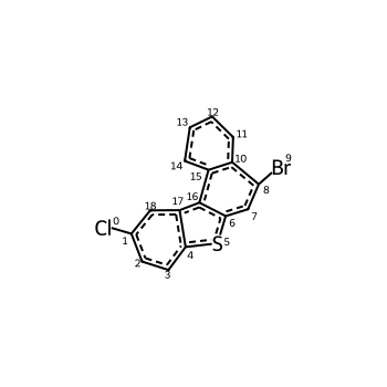 Clc1ccc2sc3cc(Br)c4ccccc4c3c2c1